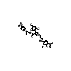 Nc1nc(NCCCn2cc(C(=O)NCCNc3ccc([N+](=O)[O-])cn3)c(-c3ccc(Cl)cc3Cl)c2)ccc1[N+](=O)[O-]